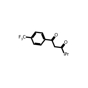 CC(C)C(=O)CC(=O)c1ccc(C(F)(F)F)cc1